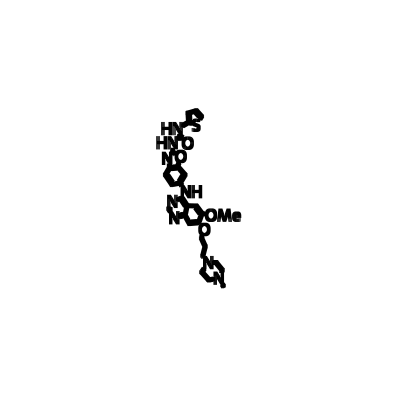 COc1cc2c(Nc3ccc4nc(NC(=O)Nc5cccs5)oc4c3)ncnc2cc1OCCCN1CCN(C)CC1